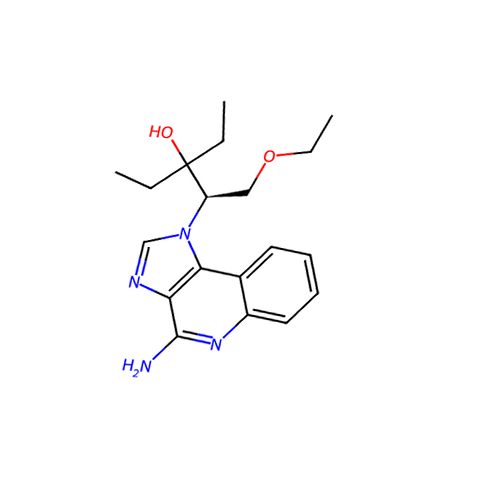 CCOC[C@@H](n1cnc2c(N)nc3ccccc3c21)C(O)(CC)CC